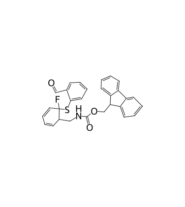 O=Cc1ccccc1SC1(F)C=CC=CC1CNC(=O)OCC1c2ccccc2-c2ccccc21